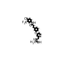 CB(O)NCc1cc(Oc2cccc(CCC(=O)Nc3ccc(Cl)c(C(F)(F)F)c3)c2)ccn1